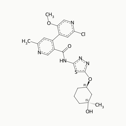 COc1cnc(Cl)cc1-c1cc(C)ncc1C(=O)Nc1nnc(O[C@@H]2CCC[C@](C)(O)C2)s1